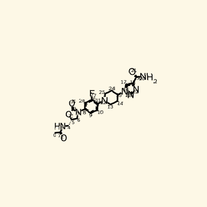 CC(=O)NC[C@H]1CN(c2ccc(N3CCC(n4cc(C(N)=O)nn4)CC3)c(F)c2)C(=O)O1